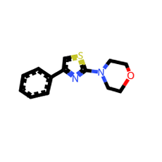 [c]1cccc(-c2csc(N3CCOCC3)n2)c1